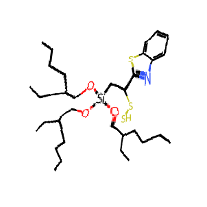 CCCCC(CC)CO[Si](CC(SS)c1nc2ccccc2s1)(OCC(CC)CCCC)OCC(CC)CCCC